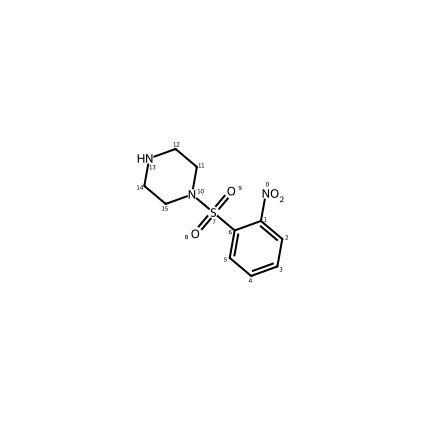 O=[N+]([O-])c1ccccc1S(=O)(=O)N1CCNCC1